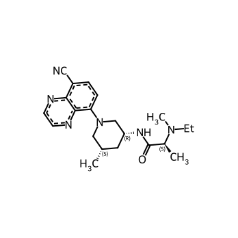 CCN(C)[C@@H](C)C(=O)N[C@@H]1C[C@H](C)CN(c2ccc(C#N)c3nccnc23)C1